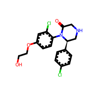 O=C1CNC[C@@H](c2ccc(Cl)cc2)N1c1ccc(OCCO)cc1Cl